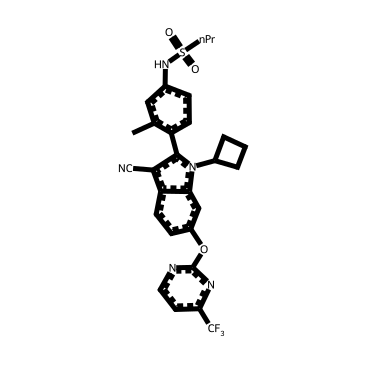 CCCS(=O)(=O)Nc1ccc(-c2c(C#N)c3ccc(Oc4nccc(C(F)(F)F)n4)cc3n2C2CCC2)c(C)c1